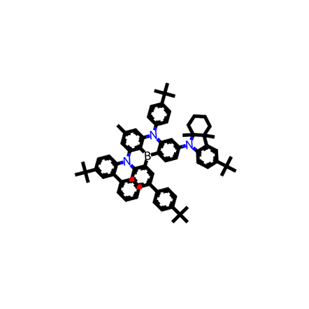 Cc1cc2c3c(c1)N(c1ccc(C(C)(C)C)cc1-c1ccccc1)c1ccc(-c4ccc(C(C)(C)C)cc4)cc1B3c1ccc(N3c4ccc(C(C)(C)C)cc4C4(C)CCCCC34C)cc1N2c1ccc(C(C)(C)C)cc1